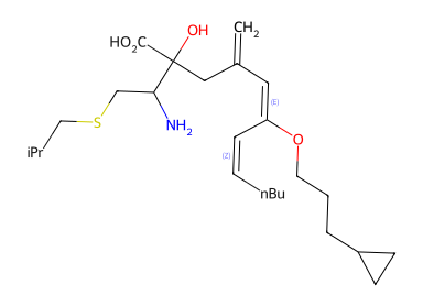 C=C(/C=C(\C=C/CCCC)OCCCC1CC1)CC(O)(C(=O)O)C(N)CSCC(C)C